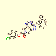 CCC1CC2CCCC(CNc3ncnc4c3CCN(C(=O)COc3cccc(Cl)c3)C4)(C1)C2